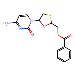 Nc1ccn(C2CSC(COC(=O)c3ccccc3)O2)c(=O)n1